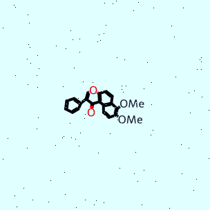 COc1ccc2c(ccc3occ(-c4ccccc4)c(=O)c32)c1OC